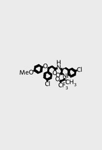 COc1ccc(OC(CC(=O)N[C@@H](Cc2cccc(Cl)c2)C(=O)N[C@@H](C)C(=O)C(F)(F)F)c2ccc(Cl)cc2)cc1